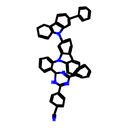 N#Cc1ccc(C2=NC(c3ccccc3)=NC(c3ccccc3-n3c4ccccc4c4ccc(-n5c6c(c7ccc(-c8ccccc8)cc75)CCC=C6)cc43)N2)cc1